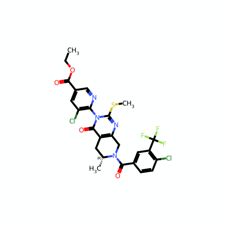 CCOC(=O)c1cnc(-n2c(SC)nc3c(c2=O)C[C@@H](C)N(C(=O)c2ccc(Cl)c(C(F)(F)F)c2)C3)c(Cl)c1